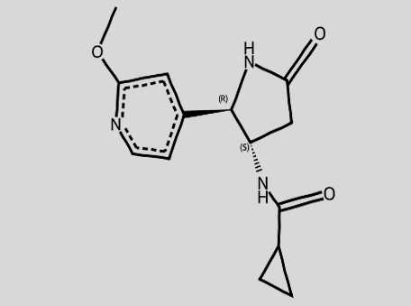 COc1cc([C@H]2NC(=O)C[C@@H]2NC(=O)C2CC2)ccn1